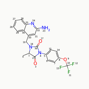 CC1C(=O)N(c2ccc(OC(F)(F)F)cc2)C(=O)N1Cc1cc(N)nc2ccccc12